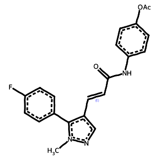 CC(=O)Oc1ccc(NC(=O)/C=C/c2cnn(C)c2-c2ccc(F)cc2)cc1